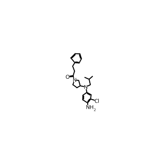 CC(C)CN(c1ccc(N)c(Cl)c1)C1CCN(C(=O)CCc2ccccc2)C1